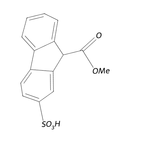 COC(=O)C1c2ccccc2-c2ccc(S(=O)(=O)O)cc21